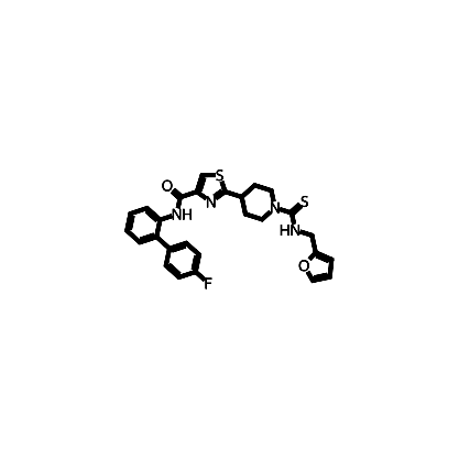 O=C(Nc1ccccc1-c1ccc(F)cc1)c1csc(C2CCN(C(=S)NCc3ccco3)CC2)n1